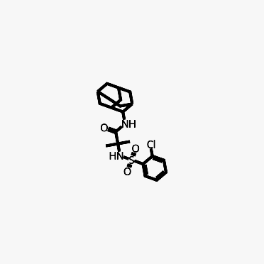 CC(C)(NS(=O)(=O)c1ccccc1Cl)C(=O)NC1C2CC3CC(C2)CC1C3